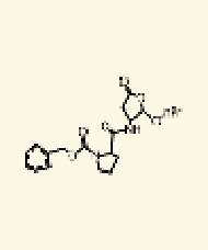 CCCO[C@@H]1OC(=O)C[C@@H]1NC(=O)C1CCCN1C(=O)OCc1ccccc1